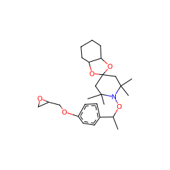 CC(ON1C(C)(C)CC2(CC1(C)C)OC1CCCCC1O2)c1ccc(OCC2CO2)cc1